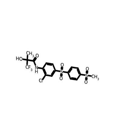 CC(O)(C(=O)Nc1ccc(S(=O)(=O)c2ccc(S(C)(=O)=O)cc2)cc1Cl)C(F)(F)F